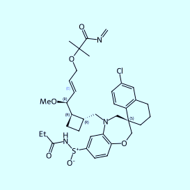 C=NC(=O)C(C)(C)OC/C=C/[C@H](OC)[C@@H]1CC[C@H]1CN1C[C@@]2(CCCc3cc(Cl)ccc32)COc2ccc([S+]([O-])NC(=O)CC)cc21